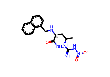 CC(C[C@H](NCc1cccc2ccccc12)C(N)=O)NC(=N)N[N+](=O)[O-]